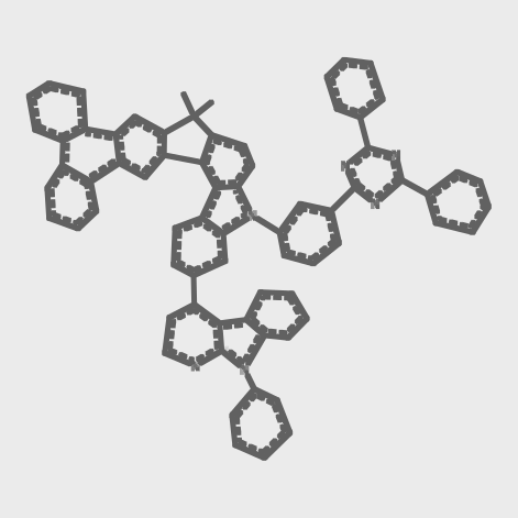 CC1(C)c2cc3c4ccccc4c4ccccc4c3cc2-c2c1ccc1c2c2ccc(-c3ccnc4c3c3ccccc3n4-c3ccccc3)cc2n1-c1cccc(-c2nc(-c3ccccc3)nc(-c3ccccc3)n2)c1